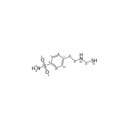 NS(=O)(=O)c1ccc(CCNCS)cc1